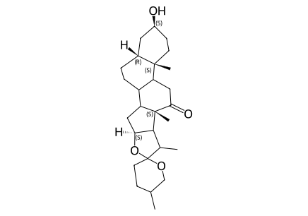 CC1CCC2(OC1)O[C@H]1CC3C4CC[C@@H]5C[C@@H](O)CC[C@]5(C)C4CC(=O)[C@]3(C)C1C2C